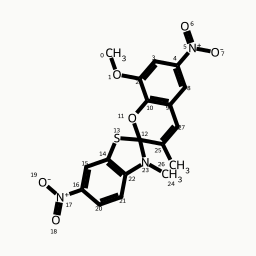 COc1cc([N+](=O)[O-])cc2c1OC1(Sc3cc([N+](=O)[O-])ccc3N1C)C(C)=C2